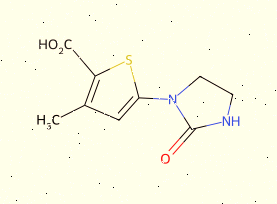 Cc1cc(N2CCNC2=O)sc1C(=O)O